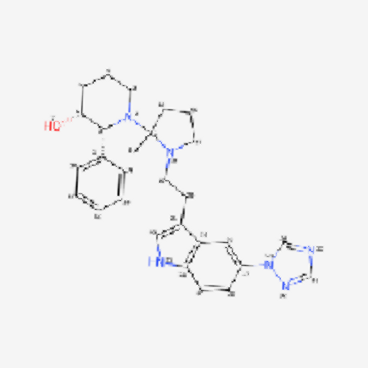 CC1(N2CCC[C@@H](O)[C@H]2c2ccccc2)CCCN1CCc1c[nH]c2ccc(-n3cncn3)cc12